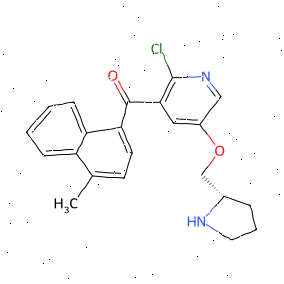 Cc1ccc(C(=O)c2cc(OC[C@@H]3CCCN3)cnc2Cl)c2ccccc12